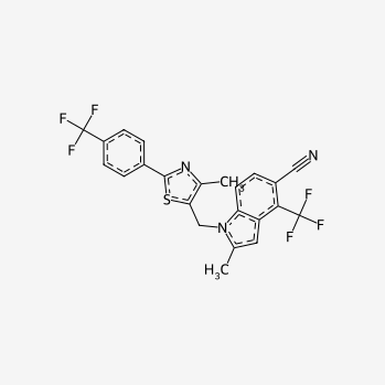 Cc1nc(-c2ccc(C(F)(F)F)cc2)sc1Cn1c(C)cc2c(C(F)(F)F)c(C#N)ccc21